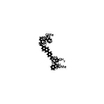 C=C1C[C@@H](c2ncc(-c3ccc(-c4ccc5cc(-c6cnc([C@@H]7CCCN7C(=O)[C@@H](NC(=O)OC)C7CCOCC7)[nH]6)ccc5c4)cc3)[nH]2)N(C(=O)[C@H](NC(=O)OC)c2ccccc2)C1